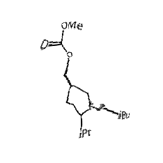 CCC(C)N1CC(COC(=O)OC)CC1C(C)C